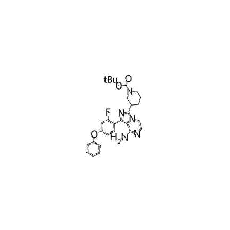 CC(C)(C)OC(=O)N1CCCC(c2nc(-c3ccc(Oc4ccccc4)cc3F)c3c(N)nccn23)C1